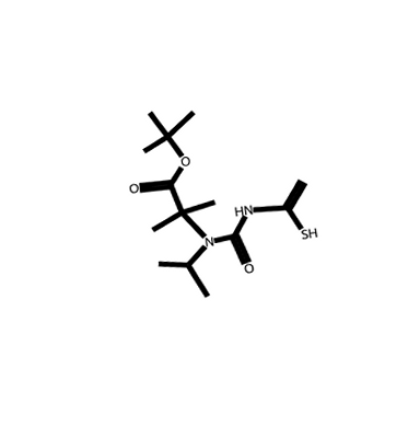 C=C(S)NC(=O)N(C(C)C)C(C)(C)C(=O)OC(C)(C)C